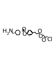 NC[C@H]1CC[C@H](C(=O)Oc2ccc(CCC(=O)OCC(=O)CCl)cc2)CC1